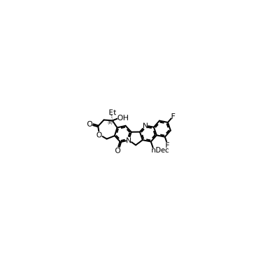 CCCCCCCCCCc1c2c(nc3cc(F)cc(F)c13)-c1cc3c(c(=O)n1C2)COC(=O)C[C@]3(O)CC